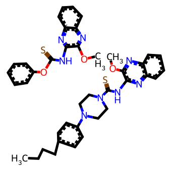 CCCCc1ccc(N2CCN(C(=S)Nc3nc4ccccc4nc3OC)CC2)cc1.COc1nc2ccccc2nc1NC(=S)Oc1ccccc1